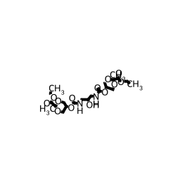 CCOC(=O)C1(C)OCC(OC(=O)NCC(O)CNC(=O)OC2COC(C)(C(=O)OCC)OC2)CO1